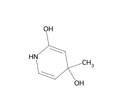 CC1(O)C=CNC(O)=C1